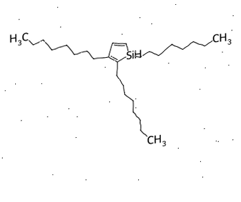 CCCCCCCCC1=C(CCCCCCCC)[SiH](CCCCCCCC)C=C1